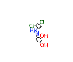 Oc1ccc(/C=N/Nc2ccc(Cl)cc2Cl)c(O)c1